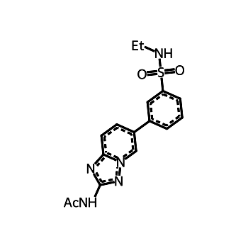 CCNS(=O)(=O)c1cccc(-c2ccc3nc(NC(C)=O)nn3c2)c1